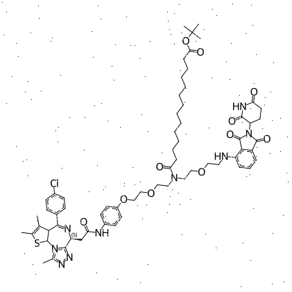 CC1=C(C)C2C(c3ccc(Cl)cc3)=N[C@@H](CC(=O)Nc3ccc(OCCOCCN(CCOCCNc4cccc5c4C(=O)N(C4CCC(=O)NC4=O)C5=O)C(=O)CCCCCCCCCCCCC(=O)OC(C)(C)C)cc3)c3nnc(C)n3C2S1